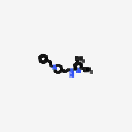 Cc1cc(C)nc(NCC=C2CCN(CCc3ccccc3)CC2)c1